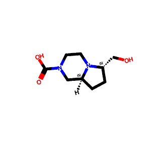 O=C(O)N1CCN2[C@H](CO)CC[C@H]2C1